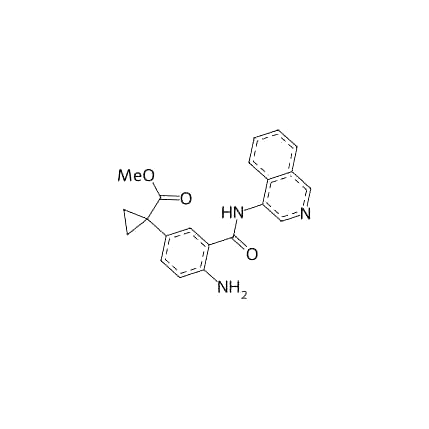 COC(=O)C1(c2ccc(N)c(C(=O)Nc3cncc4ccccc34)c2)CC1